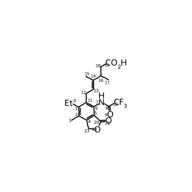 CCc1c(C)c2c(c(NC(=O)C(F)(F)F)c1C/C=C(\C)C(C)CC(=O)O)C(=O)OC2